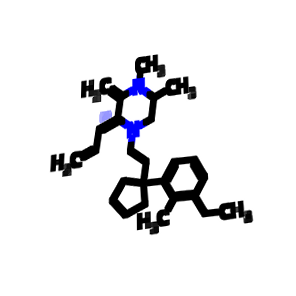 C=C/C=C1/C(=C)N(C)C(C)CN1CCC1(c2cccc(CC)c2C)CCCC1